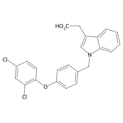 O=C(O)Cc1cn(Cc2ccc(Oc3ccc(Cl)cc3Cl)cc2)c2ccccc12